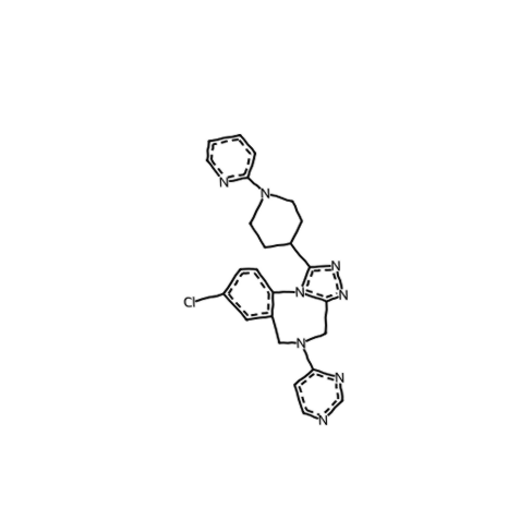 Clc1ccc2c(c1)CN(c1ccncn1)Cc1nnc(C3CCN(c4ccccn4)CC3)n1-2